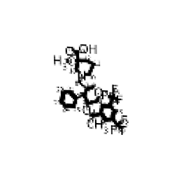 C[C@@H](O[C@@H]1COC[C@H](CN2CCC[C@@](C)(C(=O)O)C2)[C@@H]1c1ccccc1)c1cc(C(F)(F)F)cc(C(F)(F)F)c1